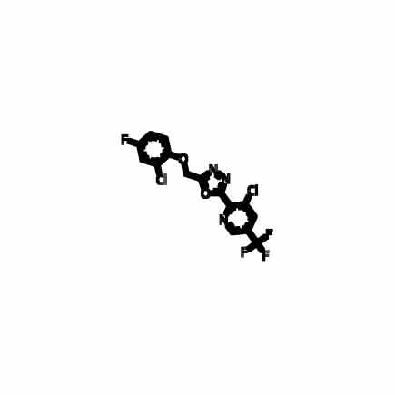 Fc1ccc(OCc2nnc(-c3ncc(C(F)(F)F)cc3Cl)o2)c(Cl)c1